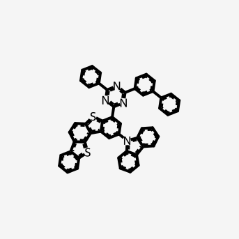 c1ccc(-c2cccc(-c3nc(-c4ccccc4)nc(-c4cc(-n5c6ccccc6c6ccccc65)cc5c4sc4ccc6c7ccccc7sc6c45)n3)c2)cc1